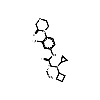 NC[C@H](C(=O)Nc1ccc(N2CCOCC2=O)c(C(F)(F)F)c1)N(C1CCC1)C1CC1